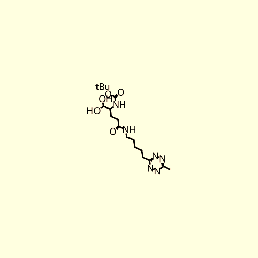 Cc1nnc(CCCCCNC(=O)CCC(NC(=O)OC(C)(C)C)C(O)O)nn1